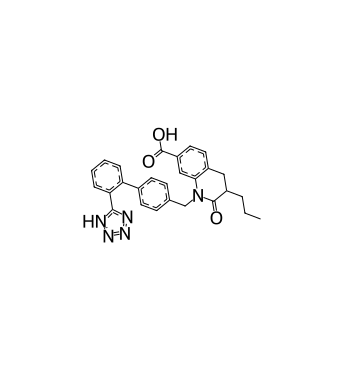 CCCC1Cc2ccc(C(=O)O)cc2N(Cc2ccc(-c3ccccc3-c3nnn[nH]3)cc2)C1=O